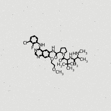 CNC(C)C(=O)NC(C(=O)N1CCCC1C(=O)Nc1cc2c(Nc3cccc(Cl)c3F)ncnc2cc1OCCOC)C(C)(C)C